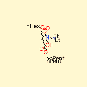 CCCCCCC(CCCCCCCCC(=O)COCCC(CCCCC)CCCCC)OC(=O)OCCN(CCO)CCN(CC)CC